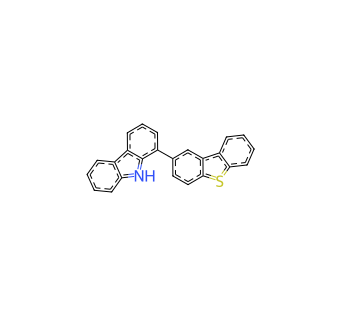 c1ccc2c(c1)[nH]c1c(-c3ccc4sc5ccccc5c4c3)cccc12